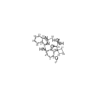 COc1ccc(Nc2nc(C)nc3ccccc23)cc1C1(C(=O)NO)CCC1